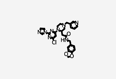 O=C(CC1CN(Cc2cccnc2)CCN1c1cc(Cl)nc(-n2ccnc2)n1)NCc1ccc2c(c1)OCO2